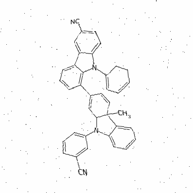 CC12C=CC(c3cccc4c5cc(C#N)ccc5n(C5=CC=CCC5)c34)=CC1N(c1cccc(C#N)c1)c1ccccc12